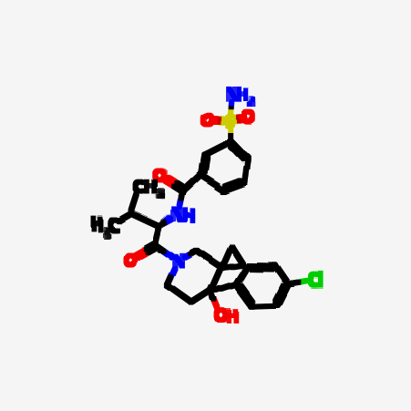 CC(C)[C@@H](NC(=O)c1cccc(S(N)(=O)=O)c1)C(=O)N1CCC(O)(c2ccc(Cl)cc2)C2(CC2)C1